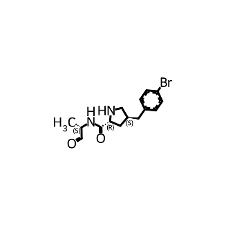 C[C@@H](C=O)NC(=O)[C@H]1C[C@H](Cc2ccc(Br)cc2)CN1